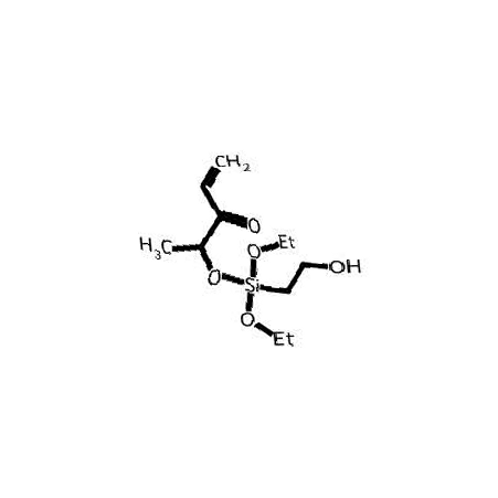 C=CC(=O)C(C)O[Si](CCO)(OCC)OCC